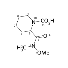 CON(C)C(=O)C1CCCCN1C(=O)O